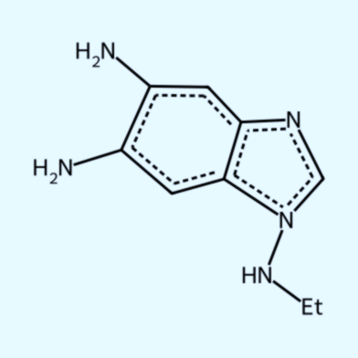 CCNn1cnc2cc(N)c(N)cc21